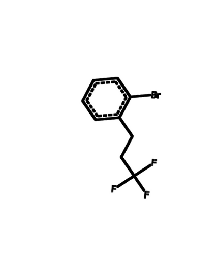 FC(F)(F)CCc1ccccc1Br